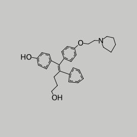 OCCC/C(=C(\c1ccc(O)cc1)c1ccc(OCCN2CCCCC2)cc1)c1ccccc1